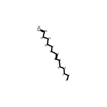 CCCCCC/C=C/CCCCC[C]=O